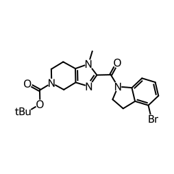 Cn1c(C(=O)N2CCc3c(Br)cccc32)nc2c1CCN(C(=O)OC(C)(C)C)C2